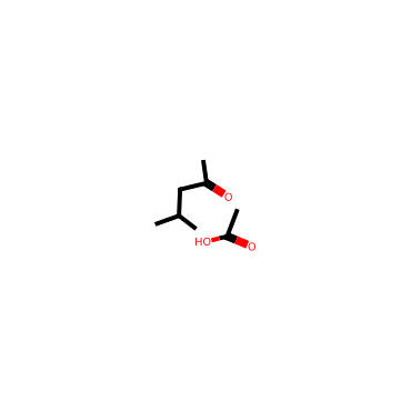 CC(=O)CC(C)C.CC(=O)O